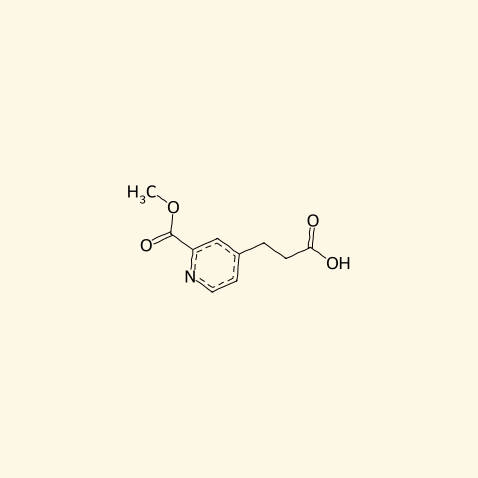 COC(=O)c1cc(CCC(=O)O)ccn1